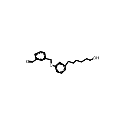 O=Cc1cccc(COc2cccc(CCCCCCO)c2)c1